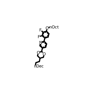 CCCCCCCCCCCCC1COC(c2ccc(-c3ccc(OCCCCCCCC)c(F)c3F)nc2)OC1